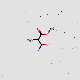 CC(C)(C)OC(=O)C(C(=O)O)C(N)O